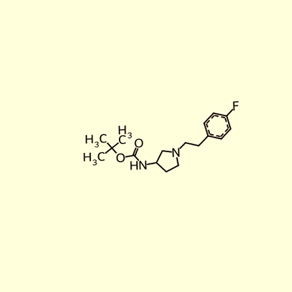 CC(C)(C)OC(=O)NC1CCN(CCc2ccc(F)cc2)C1